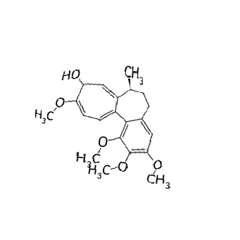 COC1=CC=C2C(=CC1O)[C@@H](C)CCc1cc(OC)c(OC)c(OC)c12